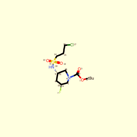 CC(C)(C)OC(=O)N1C[C@@H](F)C[C@H](NS(=O)(=O)CCCCl)C1